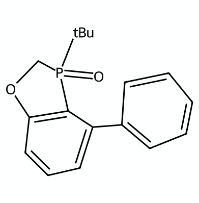 CC(C)(C)P1(=O)COc2cccc(-c3ccccc3)c21